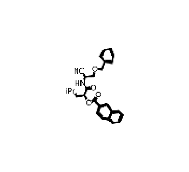 CC(C)CC(OC(=O)c1ccc2ccccc2c1)C(=O)NC(C#N)COCc1ccccc1